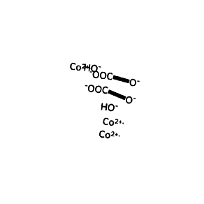 O=C([O-])[O-].O=C([O-])[O-].[Co+2].[Co+2].[Co+2].[OH-].[OH-]